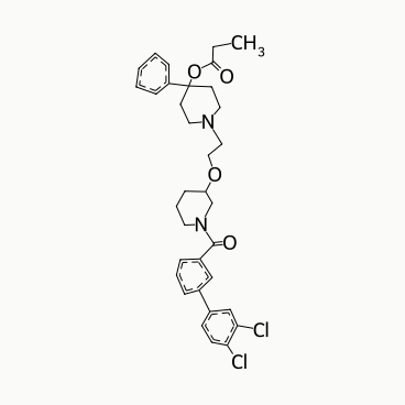 CCC(=O)OC1(c2ccccc2)CCN(CCOC2CCCN(C(=O)c3cccc(-c4ccc(Cl)c(Cl)c4)c3)C2)CC1